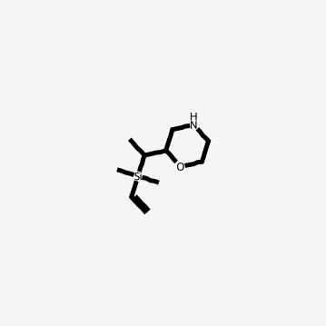 C=C[Si](C)(C)C(C)C1CNCCO1